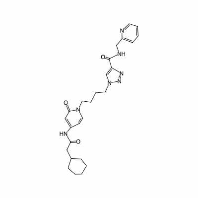 O=C(CC1CCCCC1)Nc1ccn(CCCCn2cc(C(=O)NCc3ccccn3)nn2)c(=O)c1